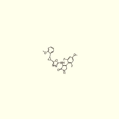 COc1cc(F)c(C2CNC(=O)C2Nc2nnc(C3CC3c3ccccc3OC)o2)c(F)c1